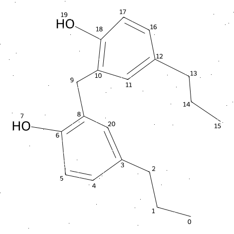 CCCc1ccc(O)c(Cc2cc(CCC)ccc2O)c1